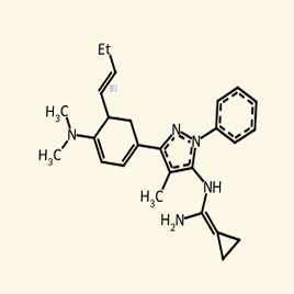 CC/C=C/C1CC(c2nn(-c3ccccc3)c(NC(N)=C3CC3)c2C)=CC=C1N(C)C